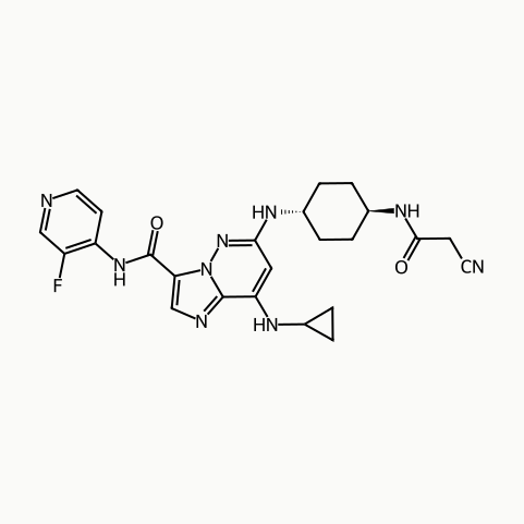 N#CCC(=O)N[C@H]1CC[C@H](Nc2cc(NC3CC3)c3ncc(C(=O)Nc4ccncc4F)n3n2)CC1